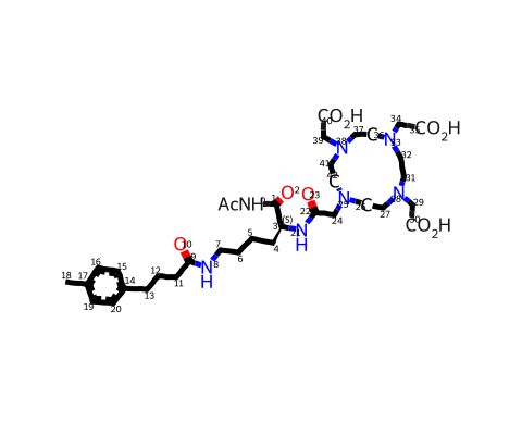 CC(=O)NC(=O)[C@H](CCCCNC(=O)CCCc1ccc(C)cc1)NC(=O)CN1CCN(CC(=O)O)CCN(CC(=O)O)CCN(CC(=O)O)CC1